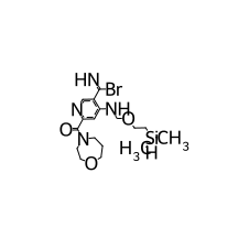 C[SiH](C)CCOCNc1cc(C(=O)N2CCCOCC2)ncc1C(=N)Br